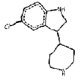 Clc1ccc2c(c1)C(C1CCNCC1)CN2